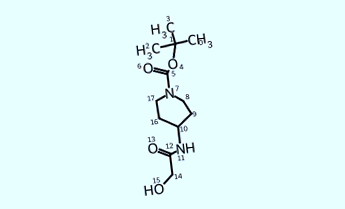 CC(C)(C)OC(=O)N1CCC(NC(=O)CO)CC1